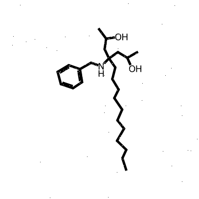 CCCCCCCCCCCC(CC(C)O)(CC(C)O)NCc1ccccc1